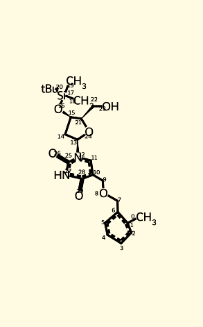 Cc1ccccc1COCc1cn([C@H]2C[C@@H](O[Si](C)(C)C(C)(C)C)[C@@H](CO)O2)c(=O)[nH]c1=O